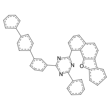 c1ccc(-c2ccc(-c3cccc(-c4nc(-c5ccccc5)nc(-c5cccc6ccc7c8ccccc8oc7c56)n4)c3)cc2)cc1